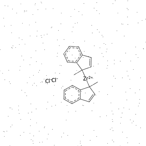 C[C]1([Zr+2][C]2(C)C=Cc3ccccc32)C=Cc2ccccc21.[Cl-].[Cl-]